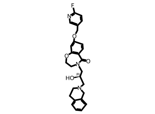 O=C1c2ccc(OCc3ccc(F)nc3)cc2OCCN1C[C@H](O)CN1CCc2ccccc2C1